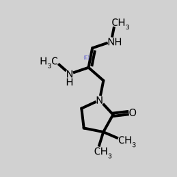 CN/C=C(\CN1CCC(C)(C)C1=O)NC